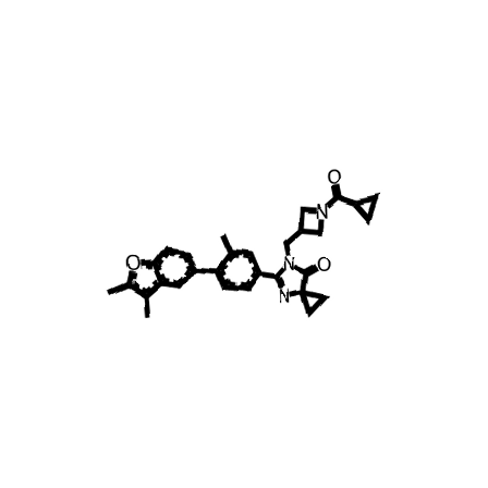 Cc1cc(C2=NC3(CC3)C(=O)N2CC2CN(C(=O)C3CC3)C2)ccc1-c1ccc2oc(C)c(C)c2c1